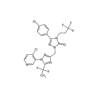 CC(F)(F)c1nc(Cn2nc(-c3ccc(Cl)cc3)n(CCC(F)(F)F)c2=O)nn1-c1cnccc1Cl